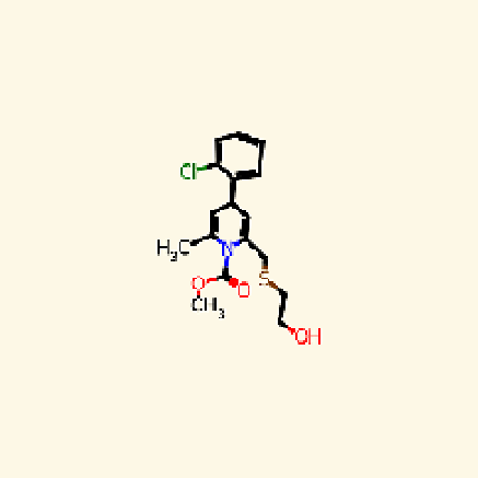 COC(=O)N1C(C)=CC(c2ccccc2Cl)C=C1CSCCO